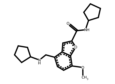 COc1ccc(CNC2CCCC2)c2cc(C(=O)NC3CCCC3)oc12